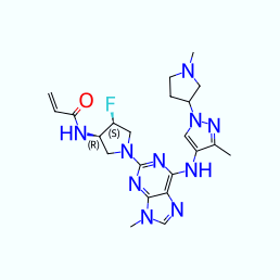 C=CC(=O)N[C@@H]1CN(c2nc(Nc3cn(C4CCN(C)C4)nc3C)c3ncn(C)c3n2)C[C@@H]1F